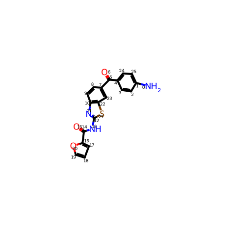 Nc1ccc(C(=O)c2ccc3nc(NC(=O)c4ccco4)sc3c2)cc1